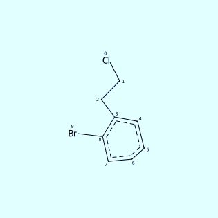 ClCCc1ccccc1Br